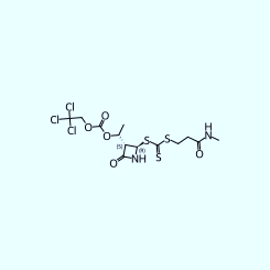 CNC(=O)CCSC(=S)S[C@H]1NC(=O)[C@@H]1C(C)OC(=O)OCC(Cl)(Cl)Cl